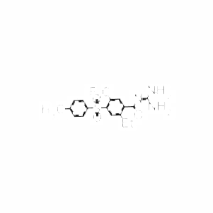 CCc1cc(S(=O)(=O)c2ccc(C)cc2)c(C(F)(F)F)cc1C(=O)N=C(N)N